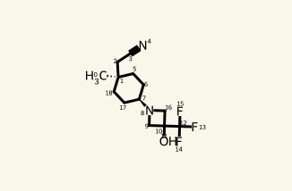 C[C@]1(CC#N)CC[C@@H](N2CC(O)(C(F)(F)F)C2)CC1